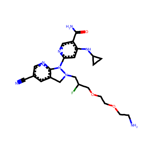 N#Cc1cnc2c(c1)CN(CC(F)COCCOCCN)N2c1cc(NC2CC2)c(C(N)=O)cn1